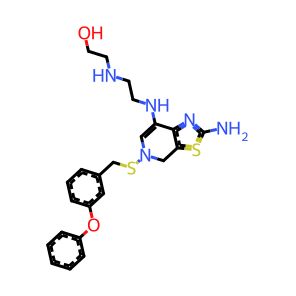 Nc1nc2c(s1)CN(SCc1cccc(Oc3ccccc3)c1)C=C2NCCNCCO